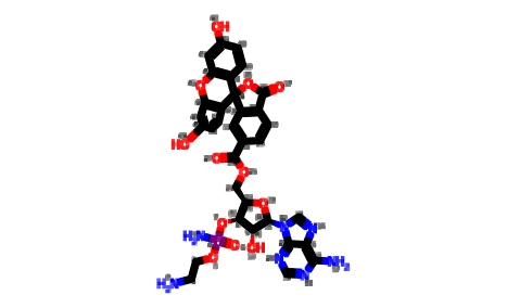 NCCOP(N)(=O)O[C@H]1[C@@H](O)[C@H](n2cnc3c(N)ncnc32)O[C@@H]1COC(=O)c1ccc2c(c1)C1(OC2=O)c2ccc(O)cc2Oc2cc(O)ccc21